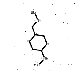 CC(C)(C)NCC1CCC(NC(C)(C)C)CC1